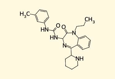 CCCN1C(=O)C(NC(=O)Nc2cccc(C)c2)N=C(C2CCCCN2)c2ccccc21